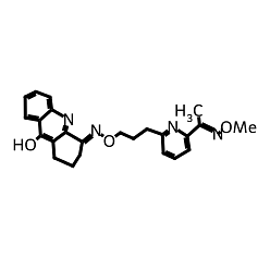 CO/N=C(\C)c1cccc(CCCO/N=C2\CCCc3c2nc2ccccc2c3O)n1